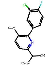 CCOC(=O)C(C#N)c1ccc(OC)c(-c2ccc(F)c(Cl)c2)n1